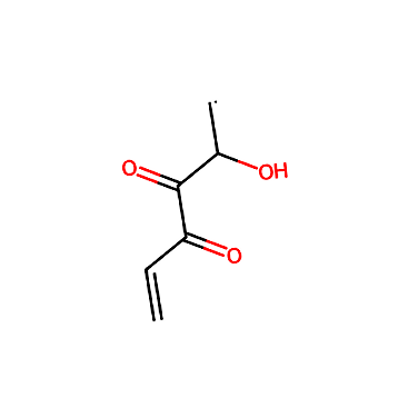 [CH2]C(O)C(=O)C(=O)C=C